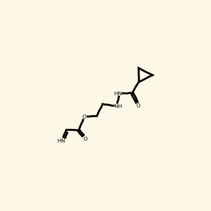 N=CC(=O)OCCNNC(=O)C1CC1